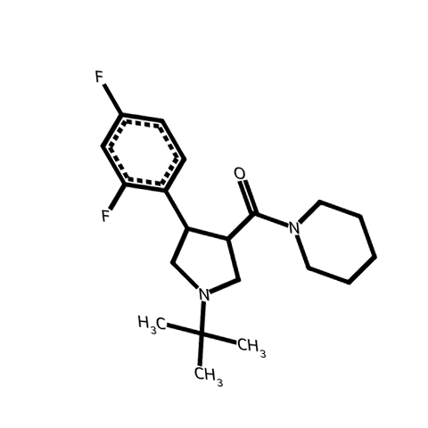 CC(C)(C)N1CC(C(=O)N2CCCCC2)C(c2ccc(F)cc2F)C1